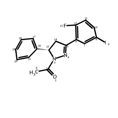 CC(=O)N1N=C(c2cc(I)ccc2F)C[C@H]1c1ccccc1